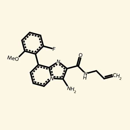 C=CCNC(=O)c1nc2c(-c3c(F)cccc3OC)cccn2c1N